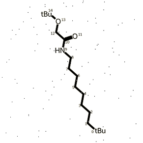 CC(C)(C)CCCCCCCCNC(=O)COC(C)(C)C